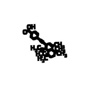 COc1c(C#Cc2ccc(C(=O)O)cc2)cc(C)c2c1C(C)(C)CCC2(C)C